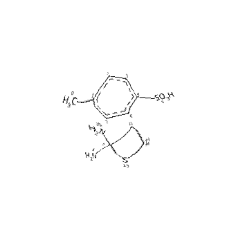 Cc1ccc(S(=O)(=O)O)cc1.NC1(N)CCS1